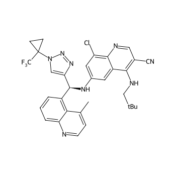 Cc1ccnc2cccc([C@H](Nc3cc(Cl)c4ncc(C#N)c(NCC(C)(C)C)c4c3)c3cn(C4(C(F)(F)F)CC4)nn3)c12